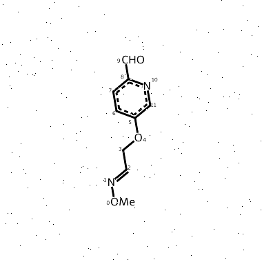 CON=CCOc1ccc(C=O)nc1